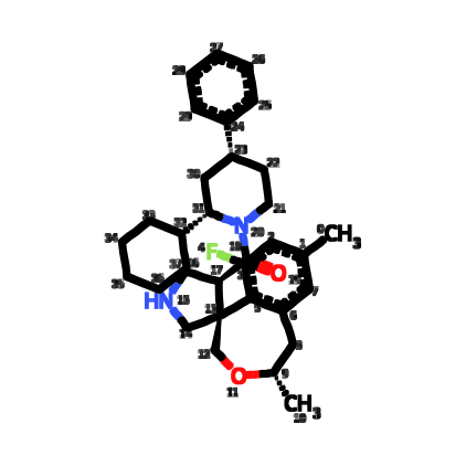 Cc1cc(F)c2c(c1)C[C@H](C)OC[C@]21CNC[C@H]1C(=O)N1CC[C@@H](c2ccccc2)C[C@H]1C1CCCCC1